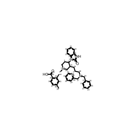 CN1CCC(n2c(=O)[nH]c3ccccc32)C(CCCN(Cc2ccccc2)Cc2ccccn2)C1.Cc1ccc(C(=O)O)c(C)c1